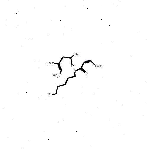 CC(C)CCCCCOC(=O)/C=C\C(=O)O.CCCCC(CC)C/C(=C/C(=O)O)C(=O)O